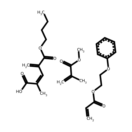 C=C(C)C(=O)OC.C=C(C=C(C)C(=O)O)C(=O)OCCCC.C=CC(=O)OCCOc1ccccc1